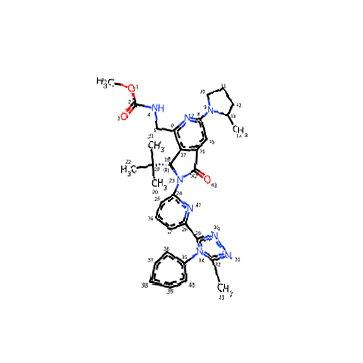 COC(=O)NCc1nc(N2CCCC2C)cc2c1[C@@H](C(C)(C)C)N(c1cccc(-c3nnc(C)n3-c3ccccc3)n1)C2=O